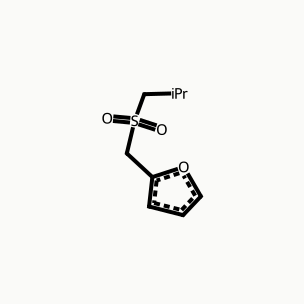 CC(C)CS(=O)(=O)Cc1ccco1